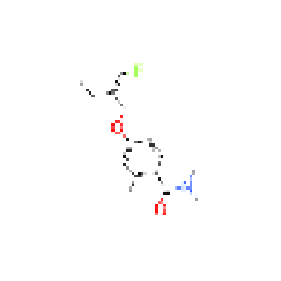 CC/C(=C/F)COc1ccc(C(=O)N(C)C)c(C)c1